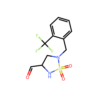 O=CC1CN(Cc2ccccc2C(F)(F)F)S(=O)(=O)N1